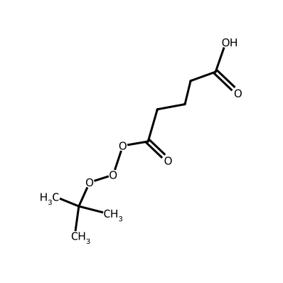 CC(C)(C)OOOC(=O)CCCC(=O)O